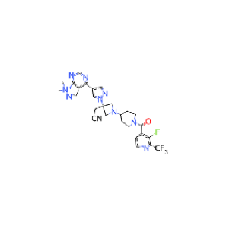 C[N+]1(C)N=Cc2c(-c3cnn(C4(CC#N)CN(C5CCN(C(=O)c6ccnc(C(F)(F)F)c6F)CC5)C4)c3)ncnc21